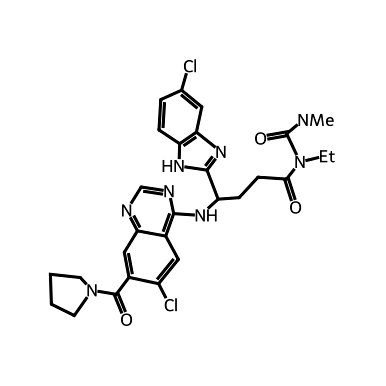 CCN(C(=O)CCC(Nc1ncnc2cc(C(=O)N3CCCC3)c(Cl)cc12)c1nc2cc(Cl)ccc2[nH]1)C(=O)NC